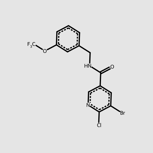 O=C(NCc1cccc(OC(F)(F)F)c1)c1cnc(Cl)c(Br)c1